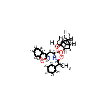 C[C@@H]1[C@@H]2C[C@H]3OB([C@H](Cc4coc5ccccc45)NC(=O)[C@@H](C)c4ccccc4)O[C@@]3(C)[C@H]1C2